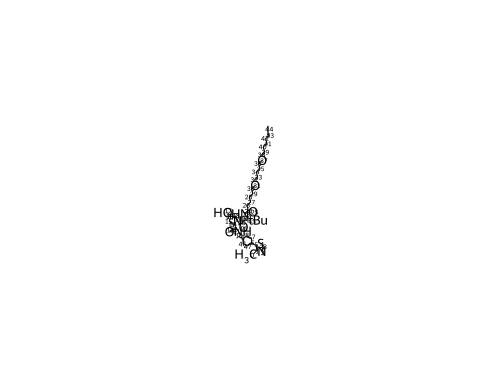 Cc1ncsc1-c1ccc(CNC(=O)[C@@H]2C[C@@H](O)CN2C(=O)[C@@H](NC(=O)CCCCCOCCCCCOCCCCCCI)C(C)(C)C)cc1